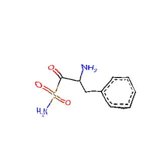 NC(Cc1ccccc1)C(=O)S(N)(=O)=O